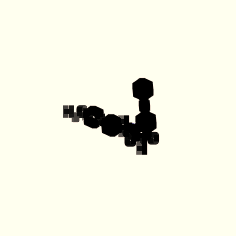 CN1CCN(c2ccc(N/C=C3\C(=O)NC(=O)c4ccc(C#Cc5ccccc5)cc43)cc2)CC1